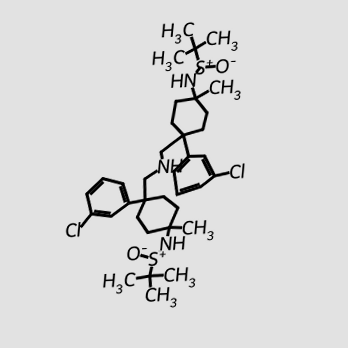 CC1(N[S+]([O-])C(C)(C)C)CCC(CNCC2(c3cccc(Cl)c3)CCC(C)(N[S+]([O-])C(C)(C)C)CC2)(c2cccc(Cl)c2)CC1